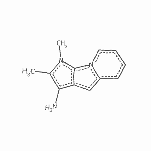 Cc1c(N)c2cc3ccccn3c2n1C